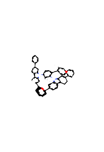 N#Cc1cccc(C(F)(F)F)c1-c1ccc(-n2c3cc(-c4ccccc4)ccc3c3ccc(-c4ccccc4)cc32)c(C#N)c1-n1c2c(c3ccc(-c4ccccc4)cc31)CCC(c1ccccc1)=C2